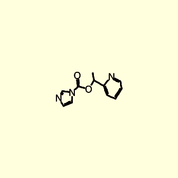 CC(OC(=O)n1ccnc1)c1ccccn1